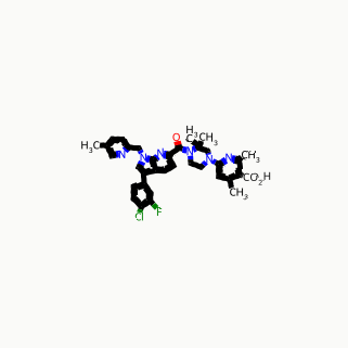 Cc1ccc(Cn2cc(-c3ccc(Cl)c(F)c3)c3ccc(C(=O)N4CCN(c5cc(C)c(C(=O)O)c(C)n5)CC4(C)C)nc32)nc1